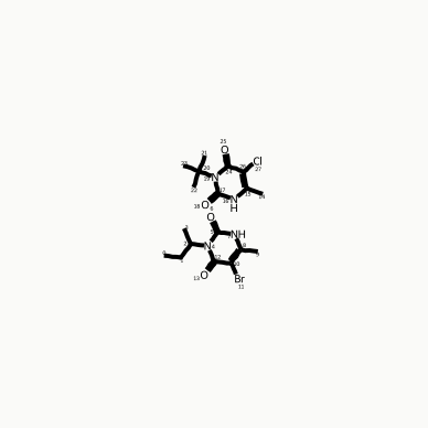 CCC(C)n1c(=O)[nH]c(C)c(Br)c1=O.Cc1[nH]c(=O)n(C(C)(C)C)c(=O)c1Cl